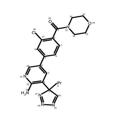 CC(C)C1(c2cc(-c3ccc(C(=O)N4CCOCC4)c(Cl)c3)cnc2N)C=NN=N1